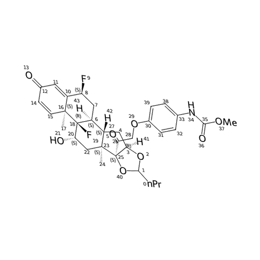 CCCC1O[C@@H]2C[C@H]3[C@@H]4C[C@H](F)C5=CC(=O)C=C[C@]5(C)[C@@]4(F)[C@@H](O)C[C@]3(C)[C@]2(C(=O)COc2ccc(NC(=O)OC)cc2)O1